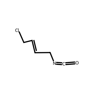 O=C=NC/C=C/CCl